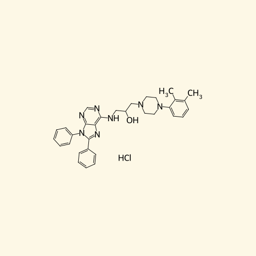 Cc1cccc(N2CCN(CC(O)CNc3ncnc4c3nc(-c3ccccc3)n4-c3ccccc3)CC2)c1C.Cl